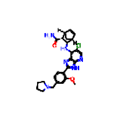 COc1cc(CN2CCCC2)ccc1-c1nc2c(N[C@H]3[C@@H](C(N)=O)[C@@H]4C=C[C@H]3C4)c(Cl)cnc2[nH]1